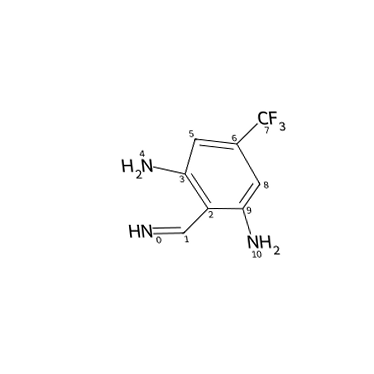 N=Cc1c(N)cc(C(F)(F)F)cc1N